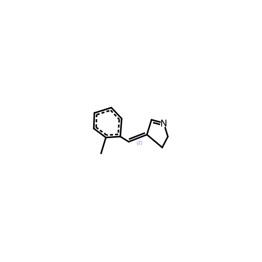 Cc1ccccc1/C=C1\C=NCC1